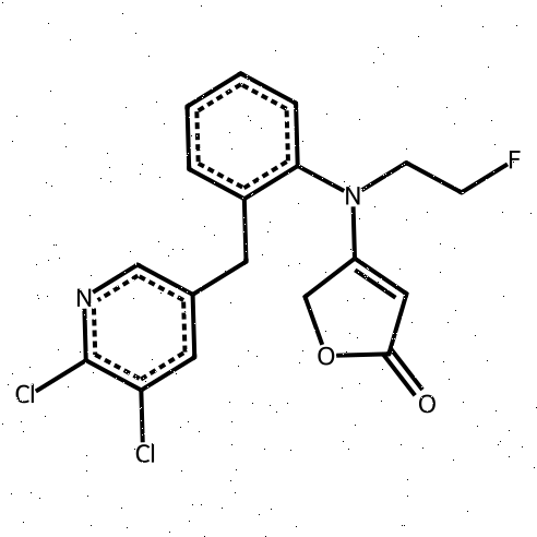 O=C1C=C(N(CCF)c2ccccc2Cc2cnc(Cl)c(Cl)c2)CO1